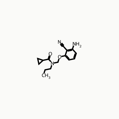 CCCN(COc1cccc(N)c1C#N)C(=O)C1CC1